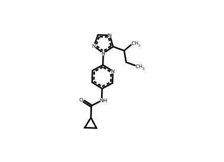 CCC(C)c1ncnn1-c1ccc(NC(=O)C2CC2)cn1